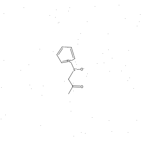 CC(=O)C[S+]([O-])[13c]1ccccc1